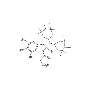 CCC(Cc1cc(C(C)(C)C)c(O)c(C(C)(C)C)c1)(OC(=O)CC(=O)O)C(C1CC(C)(C)N(C)C(C)(C)C1)C1CC(C)(C)N(C)C(C)(C)C1